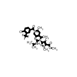 COC(=O)c1c(C)c(-n2c(NC(C)C)nc3c(c2=O)C[C@@H](C)N(C(=O)c2ccc(Cl)c(C(F)(F)F)c2)C3)nn1C